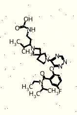 CCN(C(=O)c1cc(F)ccc1Oc1nncnc1N1CCC2(C1)CN(C(CCNC(=O)O)C(C)C)C2)C(C)C